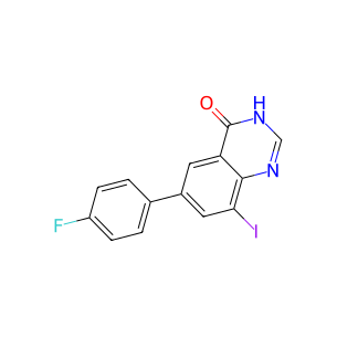 O=c1[nH]cnc2c(I)cc(-c3ccc(F)cc3)cc12